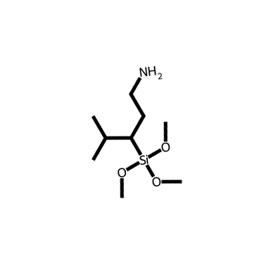 CO[Si](OC)(OC)C(CCN)C(C)C